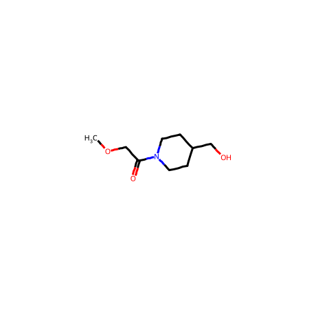 COCC(=O)N1CCC(CO)CC1